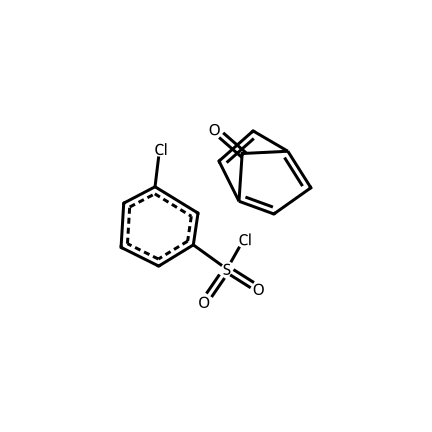 O=C1C2=CC=C1C=C2.O=S(=O)(Cl)c1cccc(Cl)c1